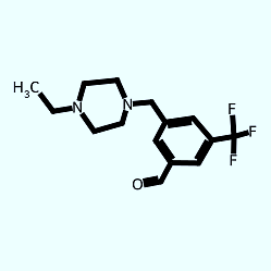 CCN1CCN(Cc2cc(C=O)cc(C(F)(F)F)c2)CC1